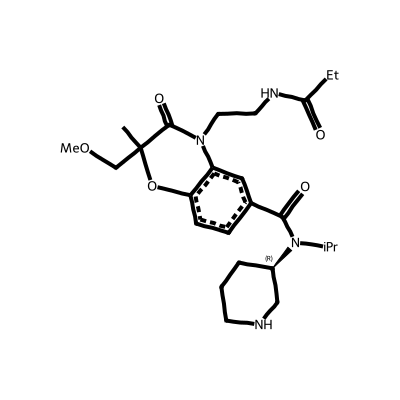 CCC(=O)NCCN1C(=O)C(C)(COC)Oc2ccc(C(=O)N(C(C)C)[C@@H]3CCCNC3)cc21